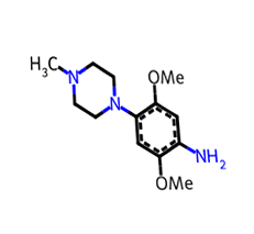 COc1cc(N2CCN(C)CC2)c(OC)cc1N